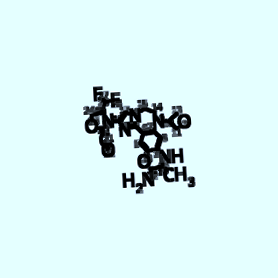 C[C@H](Nc1ccc2c(c1)N(C1COC1)CCn1cc(N3C(=C=O)OC[C@H]3C(F)F)nc1-2)C(N)=O